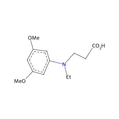 CCN(CCC(=O)O)c1cc(OC)cc(OC)c1